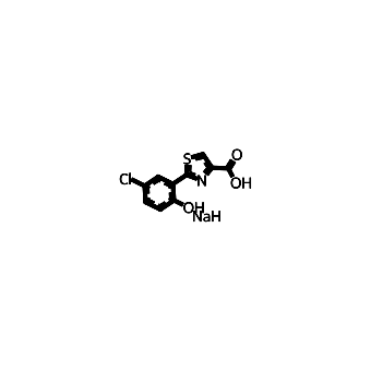 O=C(O)c1csc(-c2cc(Cl)ccc2O)n1.[NaH]